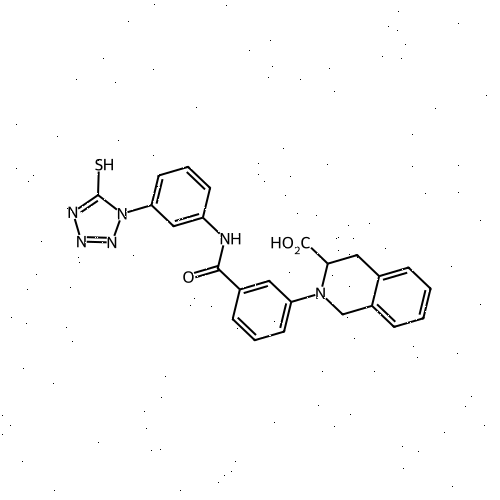 O=C(Nc1cccc(-n2nnnc2S)c1)c1cccc(N2Cc3ccccc3CC2C(=O)O)c1